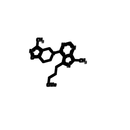 COCCCc1nc(C)n2ncnc(N3CCc4onc(C)c4C3)c12